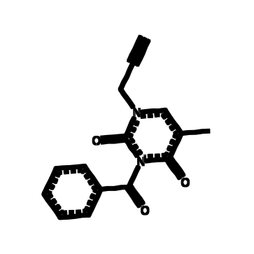 C#CCn1cc(C)c(=O)n(C(=O)c2ccccc2)c1=O